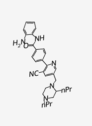 CCCC1CN(CCC)CCN1Cc1cnc(-c2ccc(C(=O)Nc3ccccc3N)cc2)c(C#N)c1